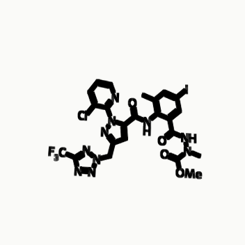 COC(=O)N(C)NC(=O)c1cc(I)cc(C)c1NC(=O)c1cc(Cn2nnc(C(F)(F)F)n2)nn1-c1ncccc1Cl